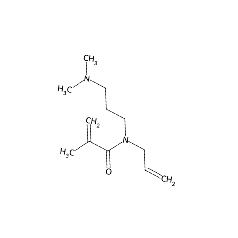 C=CCN(CCCN(C)C)C(=O)C(=C)C